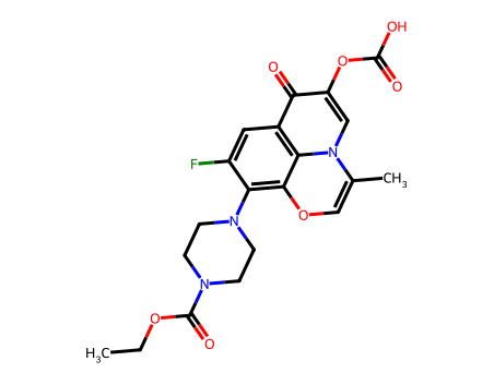 CCOC(=O)N1CCN(c2c(F)cc3c(=O)c(OC(=O)O)cn4c3c2OC=C4C)CC1